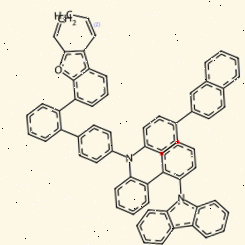 C=Cc1oc2c(-c3ccccc3-c3ccc(N(c4ccc(-c5ccc6ccccc6c5)cc4)c4ccccc4-c4ccccc4-n4c5ccccc5c5ccccc54)cc3)cccc2c1/C=C\C